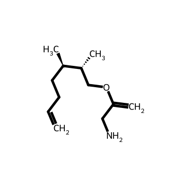 C=CCC[C@@H](C)[C@H](C)COC(=C)CN